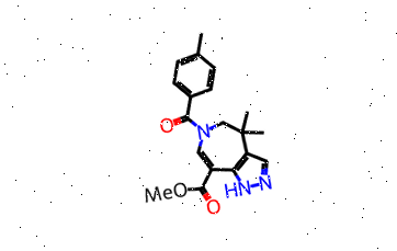 COC(=O)C1=CN(C(=O)c2ccc(C)cc2)CC(C)(C)c2cn[nH]c21